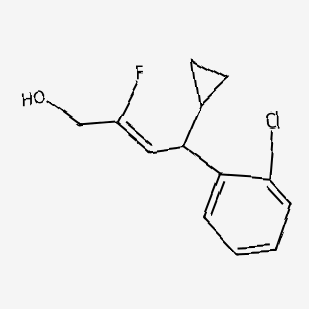 OC/C(F)=C/C(c1ccccc1Cl)C1CC1